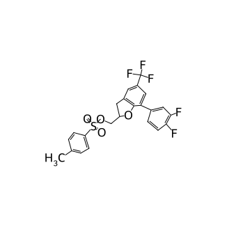 Cc1ccc(S(=O)(=O)OCC2Cc3cc(C(F)(F)F)cc(-c4ccc(F)c(F)c4)c3O2)cc1